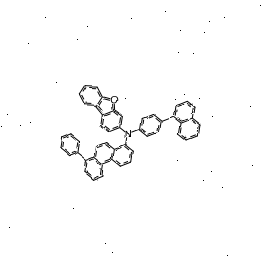 c1ccc(-c2cccc3c2ccc2c(N(c4ccc(-c5cccc6ccccc56)cc4)c4ccc5c(c4)oc4ccccc45)cccc23)cc1